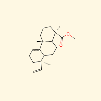 C=C[C@@]1(C)CCC=C2C1CCC1[C@](C)(C(=O)OC)CCC[C@@]21C